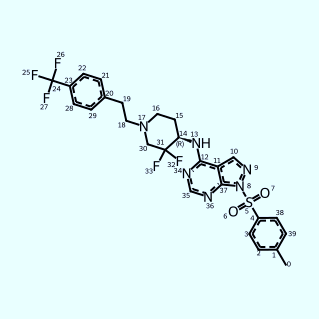 Cc1ccc(S(=O)(=O)n2ncc3c(N[C@@H]4CCN(CCc5ccc(C(F)(F)F)cc5)CC4(F)F)ncnc32)cc1